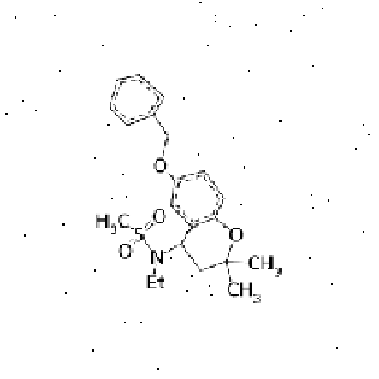 CCN(C1CC(C)(C)Oc2ccc(OCc3ccccc3)cc21)S(C)(=O)=O